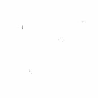 CCNc1cccc2ncc(CC)cc12